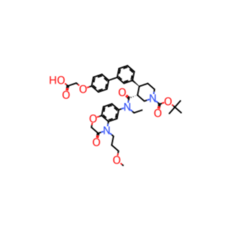 CCN(C(=O)[C@H]1CN(C(=O)OC(C)(C)C)CC[C@@H]1c1cccc(-c2ccc(OCC(=O)O)cc2)c1)c1ccc2c(c1)N(CCCOC)C(=O)CO2